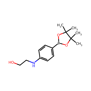 CC1(C)OB(c2ccc(NCCO)cc2)OC1(C)C